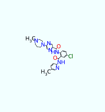 Cc1ccc(NC(=O)c2cc(Cl)ccc2NC(=O)c2cnc(N3CCCN(C)CC3)cn2)nc1